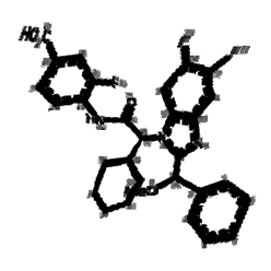 CO[C@H](c1ccccc1)c1nc2cc(F)c(F)cc2n1[C@H](C(=O)Nc1ccc(C(=O)O)cc1F)C1CCCCC1